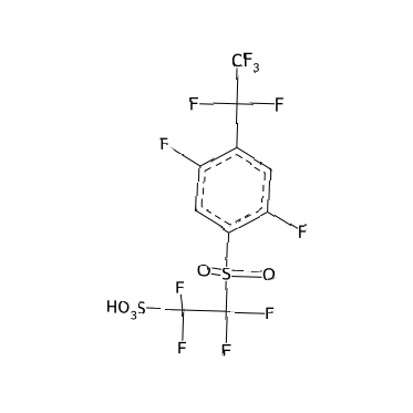 O=S(=O)(O)C(F)(F)C(F)(F)S(=O)(=O)c1cc(F)c(C(F)(F)C(F)(F)F)cc1F